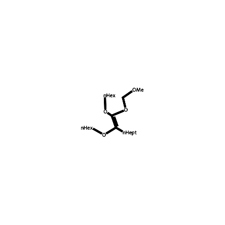 CCCCCCCC(OCCCCCC)=C(OCCCCCC)OCOC